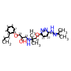 C=CCc1ccccc1OCC(O)CNC(C)(C)COc1ccc(NN=C(C)C)nn1